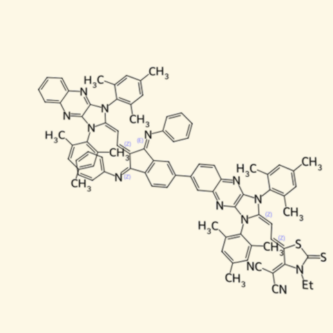 CCn1c(=S)s/c(=C\C=C2\N(c3c(C)cc(C)cc3C)c3nc4ccc(-c5ccc6c(c5)C(=N\c5ccccc5)/C(=C\C=C5N(c7c(C)cc(C)cc7C)c7nc8ccccc8nc7N5c5c(C)cc(C)cc5C)C/6=N\c5ccccc5)cc4nc3N2c2c(C)cc(C)cc2C)c1=C(C#N)C#N